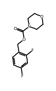 O=C(OCc1ccc(F)cc1F)N1CCOCC1